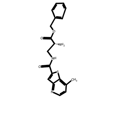 Cc1ccnc2cc(C(=O)NC[C@@H](N)C(=O)OCc3ccccc3)sc12